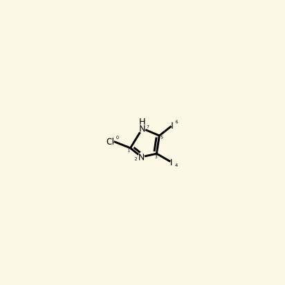 Clc1nc(I)c(I)[nH]1